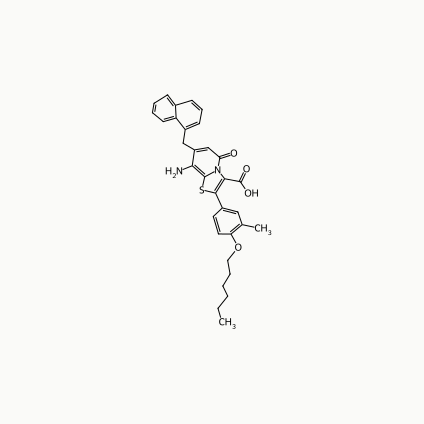 CCCCCCOc1ccc(-c2sc3c(N)c(Cc4cccc5ccccc45)cc(=O)n3c2C(=O)O)cc1C